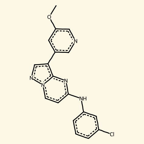 COc1cncc(-c2cnn3ccc(Nc4cccc(Cl)c4)nc23)c1